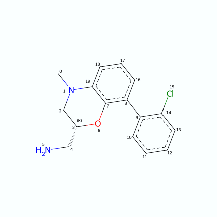 CN1C[C@@H](CN)Oc2c(-c3ccccc3Cl)cccc21